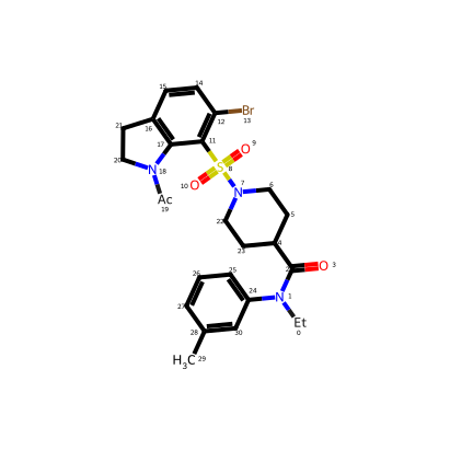 CCN(C(=O)C1CCN(S(=O)(=O)c2c(Br)ccc3c2N(C(C)=O)CC3)CC1)c1cccc(C)c1